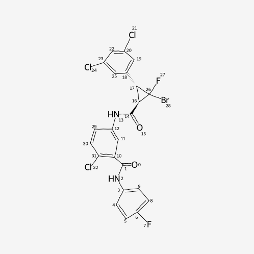 O=C(Nc1ccc(F)cc1)c1cc(NC(=O)[C@H]2[C@H](c3cc(Cl)cc(Cl)c3)C2(F)Br)ccc1Cl